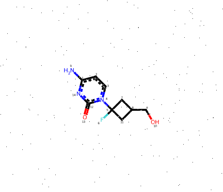 Nc1ccn(C2(F)CC(CO)C2)c(=O)n1